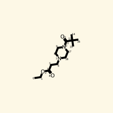 CCOC(=O)CCN1CCN(C(=O)C(C)(C)C)CC1